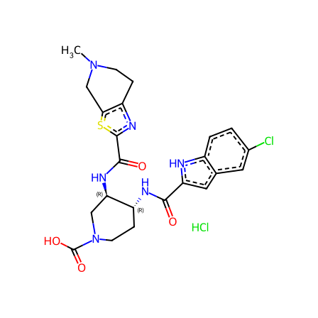 CN1CCc2nc(C(=O)N[C@@H]3CN(C(=O)O)CC[C@H]3NC(=O)c3cc4cc(Cl)ccc4[nH]3)sc2C1.Cl